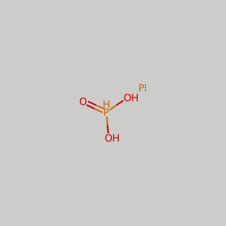 O=[PH](O)O.[P]